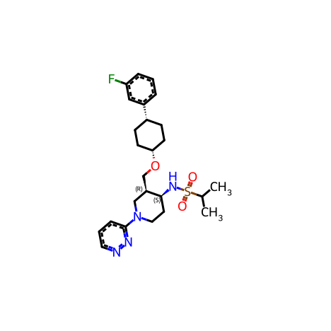 CC(C)S(=O)(=O)N[C@H]1CCN(c2cccnn2)C[C@H]1CO[C@H]1CC[C@@H](c2cccc(F)c2)CC1